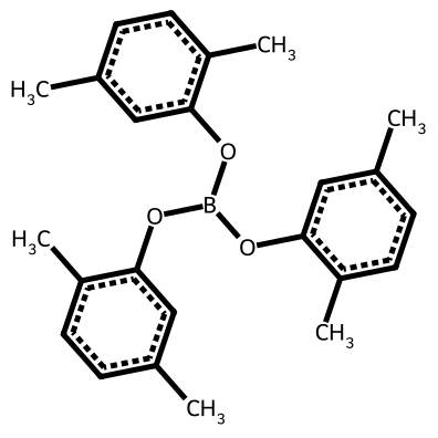 Cc1ccc(C)c(OB(Oc2cc(C)ccc2C)Oc2cc(C)ccc2C)c1